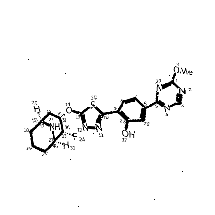 COc1ncnc(-c2ccc(-c3nnc(O[C@H]4C[C@@H]5CCC[C@@H](N5)[C@H]4F)s3)c(O)c2)n1